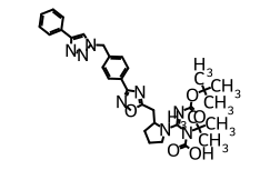 CC(C)(C)OC(=O)N=C(N1CCCC1Cc1nc(-c2ccc(Cn3cc(-c4ccccc4)nn3)cc2)no1)N(C(=O)O)C(C)(C)C